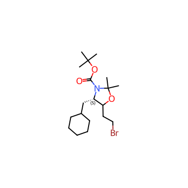 CC(C)(C)OC(=O)N1[C@@H](CC2CCCCC2)C(CCBr)OC1(C)C